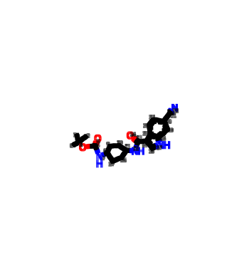 CC(C)(C)OC(=O)NC1CCC(NC(=O)c2c[nH]c3cc(C#N)ccc23)CC1